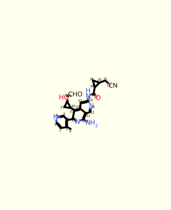 Cc1ccncc1-c1nc(N)c2cnc(NC(=O)C3CC3CC#N)cc2c1C1CC1.O=CO